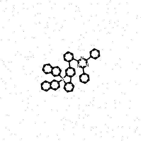 c1ccc(-c2nc(-c3ccccc3)nc(-c3ccccc3-c3ccc4c(c3)S(c3ccc5ccccc5c3)(c3ccc5ccccc5c3)c3ccccc3-4)n2)cc1